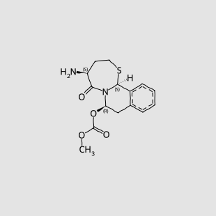 COC(=O)O[C@@H]1Cc2ccccc2[C@@H]2SCC[C@H](N)C(=O)N12